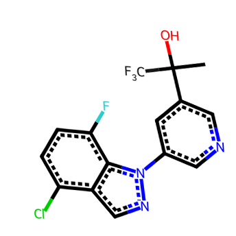 CC(O)(c1cncc(-n2ncc3c(Cl)ccc(F)c32)c1)C(F)(F)F